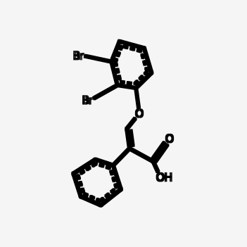 O=C(O)C(=COc1cccc(Br)c1Br)c1ccccc1